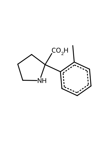 Cc1ccccc1C1(C(=O)O)CCCN1